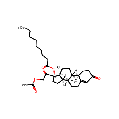 CCCCCCCCCCCCCCCCCC(=O)O[C@]1(C(=O)COC(=O)CCC)CC[C@H]2[C@@H]3CCC4=CC(=O)CC[C@]4(C)[C@H]3CC[C@@]21C